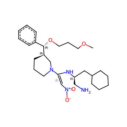 COCCCO[C@@H](c1ccccc1)[C@@H]1CCCN(/C(=C/[N+](=O)[O-])N[C@H](CN)CC2CCCCC2)C1